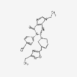 CCc1noc(C2CCCN(c3nc4c(ncn4CC)c(=O)n3-c3ccc(Cl)cc3)C2)n1